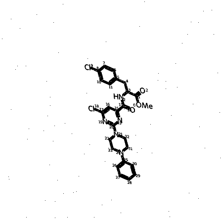 COC(=O)C(Cc1ccc(Cl)cc1)NC(=O)c1cc(Cl)nc(N2CCN(c3ccccc3)CC2)n1